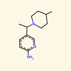 CC1CCN(C(C)c2ccc(N)nc2)CC1